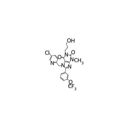 Cn1c(=O)n(CCCO)c(=O)c2c1nc(-c1cccc(OC(F)(F)F)c1)n2Cc1ccc(Cl)cn1